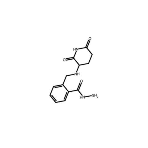 NNC(=O)c1ccccc1CNC1CCC(=O)NC1=O